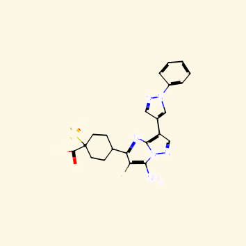 CS(=O)(=O)C1(C(=O)O)CCC(c2nc3c(-c4cnn(-c5ccccc5)c4)cnn3c(N)c2Br)CC1